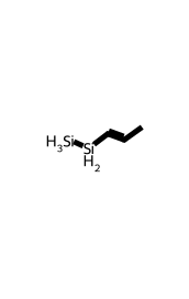 CC=C[SiH2][SiH3]